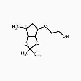 CC1(C)OC2C(OCCO)C[C@H](N)C2O1